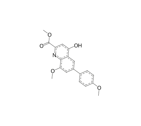 COC(=O)c1cc(O)c2cc(-c3ccc(OC)cc3)cc(OC)c2n1